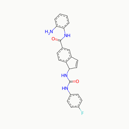 Nc1ccccc1NC(=O)c1ccc2c(c1)C=CC2NC(=O)Nc1ccc(F)cc1